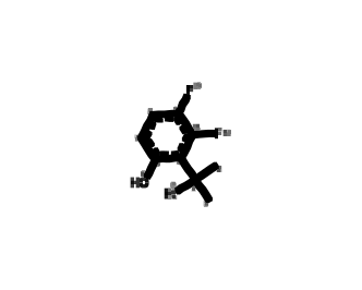 CCC(C)(C)c1c(O)ccc(F)c1F